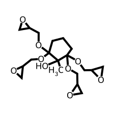 CC1(O)C(OCC2CO2)(OCC2CO2)CCCC1(OCC1CO1)OCC1CO1